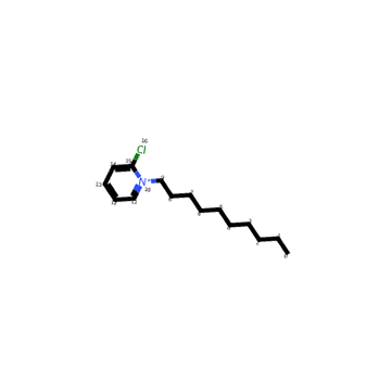 CCCCCCCCCC[n+]1ccccc1Cl